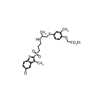 CCOC(=O)COc1ccc(SCC(C)NCCCS(=O)(=O)c2sc3ccc(Cl)cc3c2C)cc1C